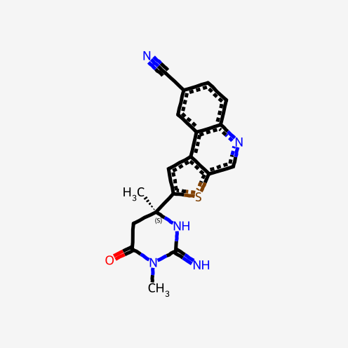 CN1C(=N)N[C@](C)(c2cc3c(cnc4ccc(C#N)cc43)s2)CC1=O